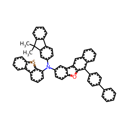 CC1(C)c2ccccc2-c2ccc(N(c3ccc4oc5c(-c6ccc(-c7ccccc7)cc6)c6ccccc6cc5c4c3)c3cccc4c3sc3ccccc34)cc21